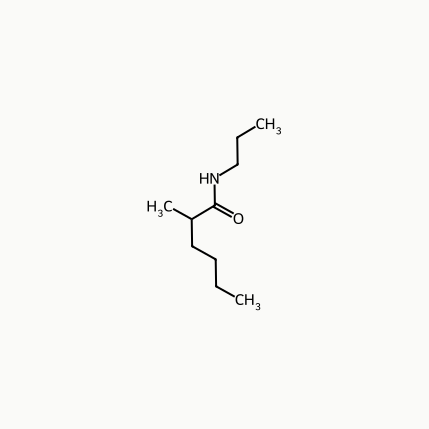 CCCCC(C)C(=O)NCCC